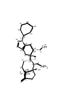 C=C1CC[C@H]2[C@H](CN)[C@@H]([C@]3(C)Cc4cnn(C5CCCCC5)c4C[C@@H]3CO)CC[C@]12C